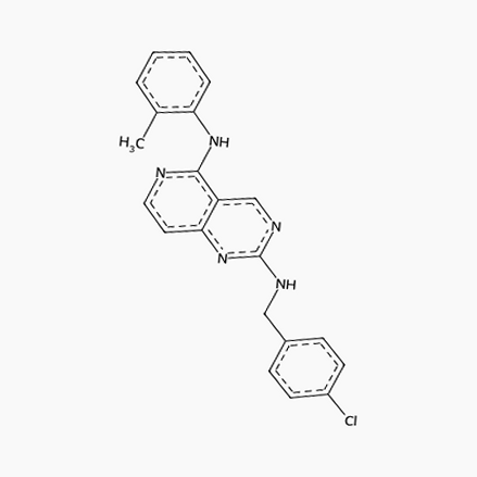 Cc1ccccc1Nc1nccc2nc(NCc3ccc(Cl)cc3)ncc12